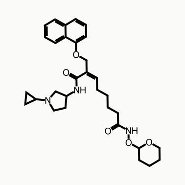 O=C(CCCCC=C(COc1cccc2ccccc12)C(=O)NC1CCN(C2CC2)C1)NOC1CCCCO1